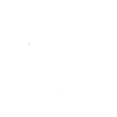 O=C(O)c1cc(-c2cc(F)cc(Cl)c2)n(-c2ccc(Cl)nc2)n1